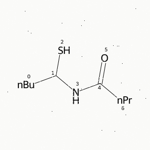 CCCCC(S)NC(=O)CCC